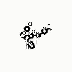 CCOc1ccc(Cl)cc1-n1c(C=C(C)C)c(C(=O)N2C[C@H]3CC[C@@H](C2)N3)cc(-c2nc(-c3ccc(C(F)F)nc3)cs2)c1=O